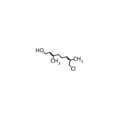 CC(=CCC/C(C)=C/CO)CCl